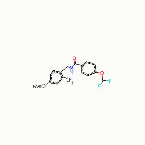 COc1ccc(CNC(=O)c2ccc(OC(F)F)cc2)c(C(F)(F)F)c1